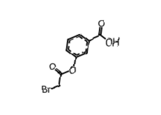 O=C(CBr)Oc1cccc(C(=O)O)c1